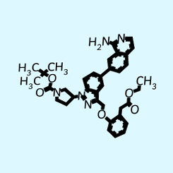 CCOC(=O)Cc1ccccc1OCc1nn(C2CCN(C(=O)OC(C)(C)C)C2)c2ccc(-c3ccc4ccnc(N)c4c3)cc12